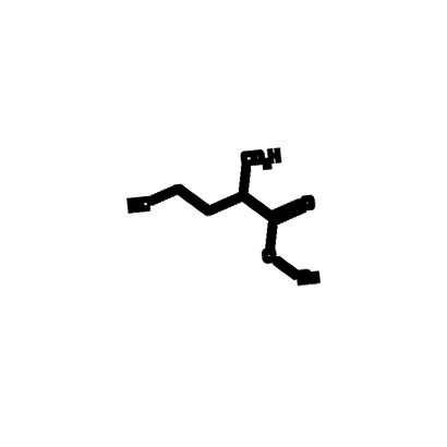 CCC(C)OC(=O)C(CCC#N)C(=O)O